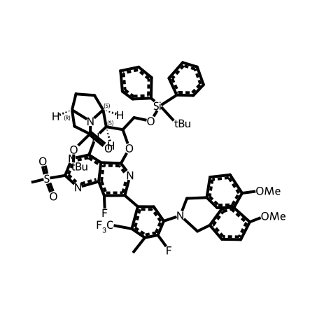 COc1ccc(CN(Cc2ccc(OC)cc2)c2cc(-c3nc4c5c(nc(S(C)(=O)=O)nc5c3F)N3C[C@H]5CC[C@@H]([C@H]3C(CO[Si](c3ccccc3)(c3ccccc3)C(C)(C)C)O4)N5C(=O)OC(C)(C)C)c(C(F)(F)F)c(C)c2F)cc1